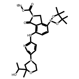 CC(O)C1(C)CN(c2ccc(Nc3ccc(B4OC(C)(C)C(C)(C)O4)c4c3C(=O)N(C(=O)OC(C)(C)C)C4)nc2)CCO1